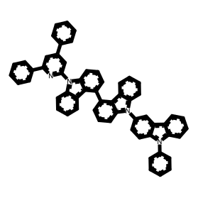 c1ccc(-c2cc(-c3ccccc3)nc(-n3c4ccccc4c4c(-c5cccc6c5c5ccccc5n6-c5ccc6c(c5)c5ccccc5n6-c5ccccc5)cccc43)c2)cc1